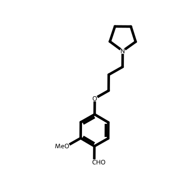 COc1cc(OCCCN2CCCC2)ccc1C=O